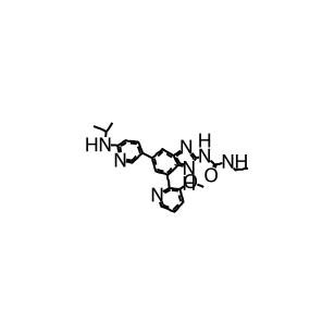 CCNC(=O)Nc1nc2cc(-c3ccc(NC(C)C)nc3)cc(-c3ncccc3OC)c2[nH]1